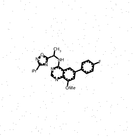 COc1cc(-c2ccc(F)cc2)cc2c(NC(C)c3nc(C(C)C)no3)ncnc12